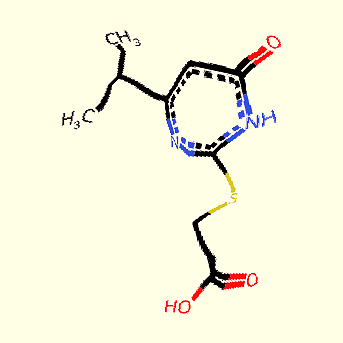 CC(C)c1cc(=O)[nH]c(SCC(=O)O)n1